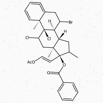 CC(=O)OC=C[C@@]1(OC(=O)c2ccccc2)C(C)C[C@H]2[C@@H]3C(Br)CC4=C=CC=C[C@]4(C)[C@@]3(Cl)C(Cl)C[C@@]21C